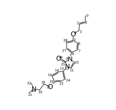 CC=CCOc1ccc(-n2ccn(-c3ccc(OCCN(C)C)cc3)c2=O)cc1